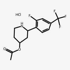 CC(=O)OC1CCNC(c2ccc(C(F)(F)F)cc2F)C1.Cl